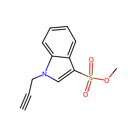 C#CCn1cc(S(=O)(=O)OC)c2ccccc21